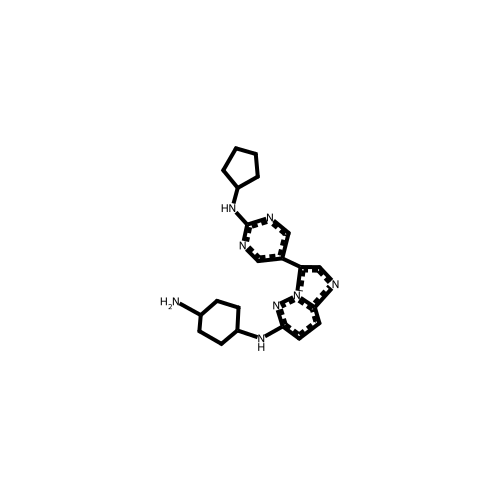 NC1CCC(Nc2ccc3ncc(-c4cnc(NC5CCCC5)nc4)n3n2)CC1